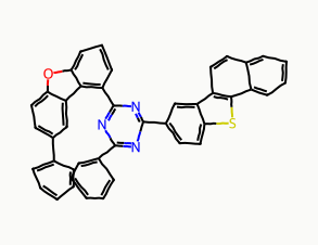 c1ccc(-c2ccc3oc4cccc(-c5nc(-c6ccccc6)nc(-c6ccc7sc8c9ccccc9ccc8c7c6)n5)c4c3c2)cc1